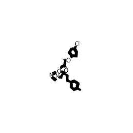 Cc1ccc(CCC2(Cn3ccnc3)OCC(COc3ccc(Cl)cc3)O2)cc1